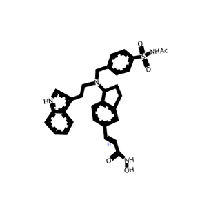 CC(=O)NS(=O)(=O)c1ccc(CN(CCc2c[nH]c3ccccc23)C2CCc3cc(/C=C/C(=O)NO)ccc32)cc1